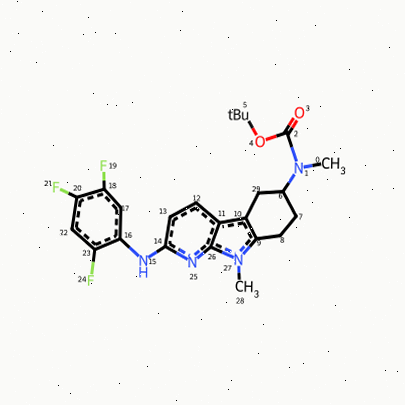 CN(C(=O)OC(C)(C)C)C1CCc2c(c3ccc(Nc4cc(F)c(F)cc4F)nc3n2C)C1